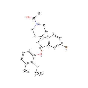 CCOC(=O)Cc1c(C)cccc1OC1CC2(CCN(C(=O)CC)CC2)c2ccc(Br)cc21